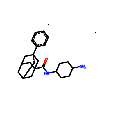 NC1CCC(NC(=O)C23CC4CC(C2)CC(c2ccccc2)(C4)C3)CC1